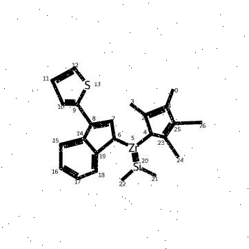 CC1=C(C)[CH]([Zr]([CH]2C=C(c3cccs3)c3ccccc32)=[Si](C)C)C(C)=C1C